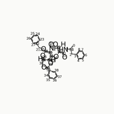 C[C@@H](Cc1ccccc1)NC(=O)[C@@H](C)O[C@@H]1[C@@H](NC(=O)O)[C@H](OCc2ccccc2)O[C@@H]2CO[C@@H](c3ccccc3)O[C@@H]12